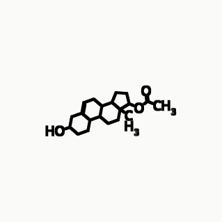 CC(=O)OC1CCC2C3CC=C4CC(O)CCC4C3CCC12C